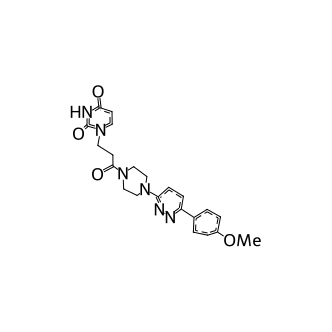 COc1ccc(-c2ccc(N3CCN(C(=O)CCn4ccc(=O)[nH]c4=O)CC3)nn2)cc1